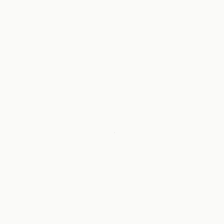 CCCC1=[C]([Zr](=[C](c2ccccc2)c2ccccc2)[CH]2c3cc(CC)ccc3-c3ccc(CC)cc32)C(CCC)C=C1